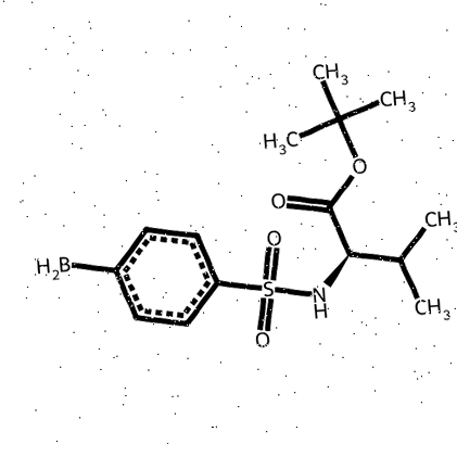 Bc1ccc(S(=O)(=O)N[C@@H](C(=O)OC(C)(C)C)C(C)C)cc1